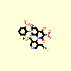 CCc1cncc(CC)c1-n1c(=O)c([N+](=O)[O-])c(O)c2cc(C)n(-c3c(F)cccc3[N+](=O)[O-])c(=O)c21